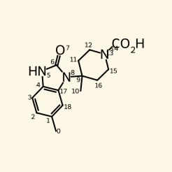 Cc1ccc2[nH]c(=O)n(C3(C)CCN(C(=O)O)CC3)c2c1